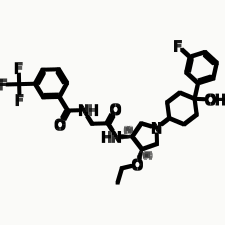 CCO[C@@H]1CN(C2CCC(O)(c3cccc(F)c3)CC2)C[C@@H]1NC(=O)CNC(=O)c1cccc(C(F)(F)F)c1